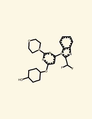 OC1CCC(Oc2cc(-n3c(C(F)F)nc4ccccc43)nc(N3CCOCC3)n2)CC1